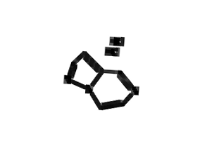 Cl.Cl.c1cn2nccc2cn1